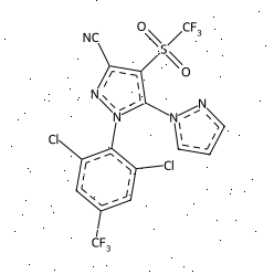 N#Cc1nn(-c2c(Cl)cc(C(F)(F)F)cc2Cl)c(-n2cccn2)c1S(=O)(=O)C(F)(F)F